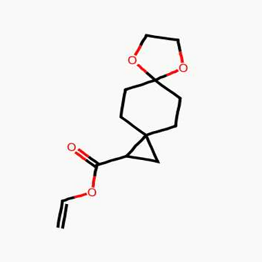 C=COC(=O)C1CC12CCC1(CC2)OCCO1